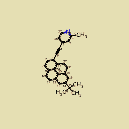 Cc1cc(C#Cc2ccc3ccc4cc(C(C)(C)C)cc5ccc2c3c45)ccn1